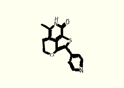 Cc1[nH]c(=O)c2sc(-c3ccncc3)c3c2c1CCO3